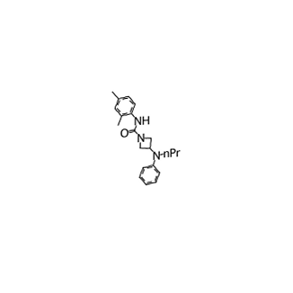 CCCN(c1ccccc1)C1CN(C(=O)Nc2ccc(C)cc2C)C1